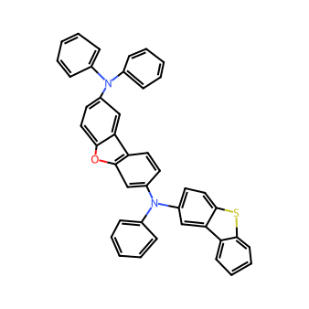 c1ccc(N(c2ccccc2)c2ccc3oc4cc(N(c5ccccc5)c5ccc6sc7ccccc7c6c5)ccc4c3c2)cc1